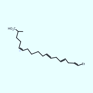 CCC=CCC=CCC=CCCCC/C=C\CCC(C)C(=O)O